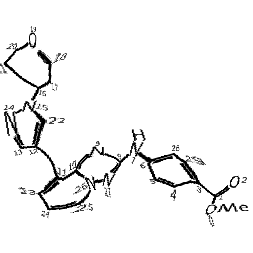 COC(=O)c1ccc(Nc2nc3c(-c4cnn(C5CCOCC5)c4)cccn3n2)cc1